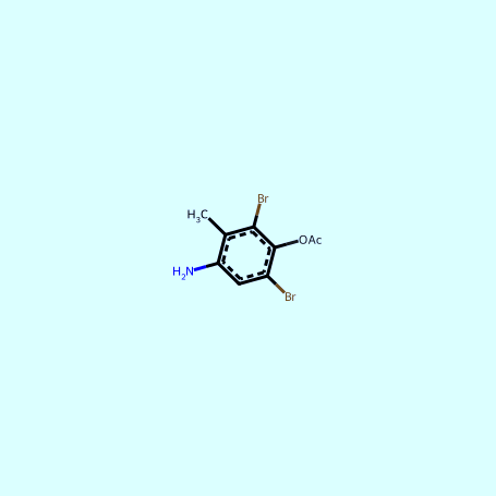 CC(=O)Oc1c(Br)cc(N)c(C)c1Br